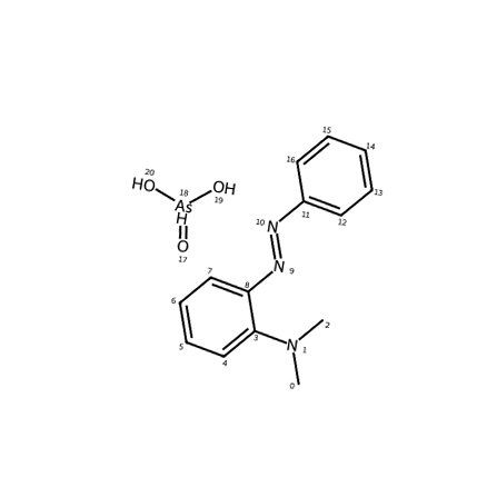 CN(C)c1ccccc1N=Nc1ccccc1.O=[AsH](O)O